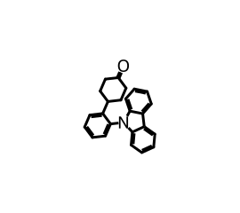 O=C1CCC(c2ccccc2-n2c3ccccc3c3ccccc32)CC1